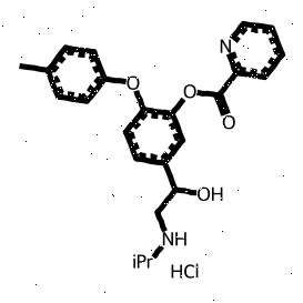 Cc1ccc(Oc2ccc(C(O)CNC(C)C)cc2OC(=O)c2ccccn2)cc1.Cl